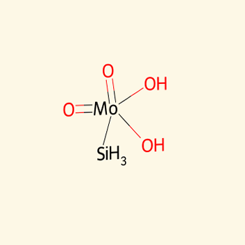 [O]=[Mo](=[O])([OH])([OH])[SiH3]